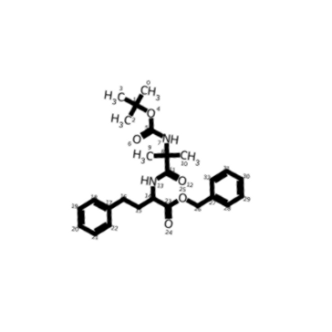 CC(C)(C)OC(=O)NC(C)(C)C(=O)NC(CCc1ccccc1)C(=O)OCc1ccccc1